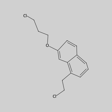 ClCCCOc1ccc2cccc(CCCl)c2c1